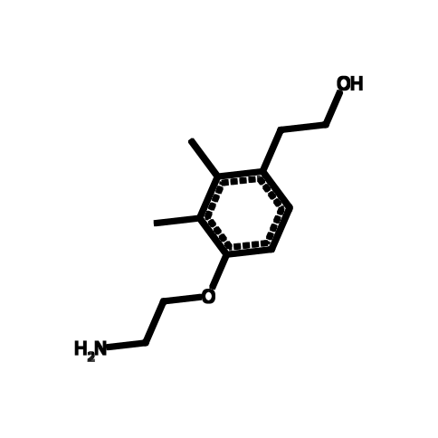 Cc1c(CCO)ccc(OCCN)c1C